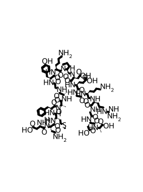 CSCC[C@H](NC(=O)[C@H](CC(N)=O)NC(=O)[C@@H](N)CC(=O)O)C(=O)N[C@@H](Cc1ccccc1)C(=O)N[C@@H](C)C(=O)N[C@@H](C)C(=O)NCC(=O)N[C@@H](Cc1ccc(O)cc1)C(=O)N[C@@H](CCCCN)C(=O)N1CCC[C@H]1C(=O)N[C@@H](CC(=O)O)C(=O)N[C@@H](CCC(=O)O)C(=O)NCC(=O)N[C@@H](CCCCN)C(=O)N[C@@H](CCCNC(=N)N)C(=O)NCC(=O)N[C@@H](CC(=O)O)C(=O)N[C@@H](C)C(=O)O